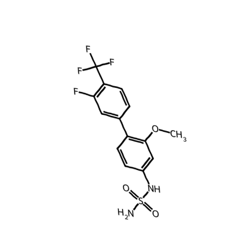 COc1cc(NS(N)(=O)=O)ccc1-c1ccc(C(F)(F)F)c(F)c1